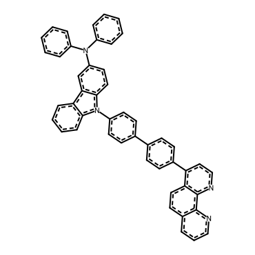 c1ccc(N(c2ccccc2)c2ccc3c(c2)c2ccccc2n3-c2ccc(-c3ccc(-c4ccnc5c4ccc4cccnc45)cc3)cc2)cc1